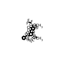 CC[Si](CC)(CC)OC1CC(OC(=O)c2ccccc2)C(=O)C(C(=O)c2ccc(S(C)(=O)=O)c(COC(F)C(F)F)c2Cl)C1=O